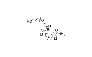 CCC(C)(CCOC(C)(C)CCCO)NC(=O)C(C)(CC)CC(C)(C)OC(C)(CC)C(C)(C)C(N)=O